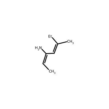 C/C=C(N)\C=C(\C)CC